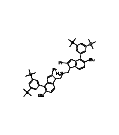 CC(C)C1=Cc2c(ccc(C(C)(C)C)c2-c2cc([Si](C)(C)C)cc([Si](C)(C)C)c2)C1C[SiH2]CC1C(C(C)C)=Cc2c1ccc(C(C)(C)C)c2-c1cc([Si](C)(C)C)cc([Si](C)(C)C)c1